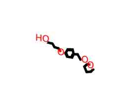 OCCCCOc1ccc(CCOC2CCCCO2)cc1